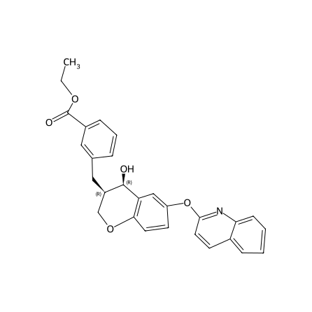 CCOC(=O)c1cccc(C[C@@H]2COc3ccc(Oc4ccc5ccccc5n4)cc3[C@@H]2O)c1